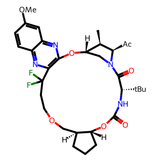 COc1ccc2nc3c(nc2c1)O[C@H]1CN(C(=O)[C@H](C(C)(C)C)NC(=O)O[C@@H]2CCC[C@H]2COCCC3(F)F)[C@H](C(C)=O)[C@@H]1C